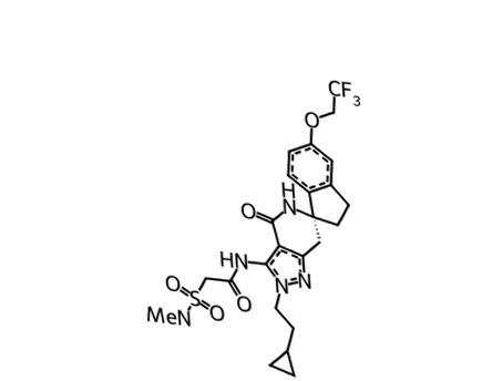 CNS(=O)(=O)CC(=O)Nc1c2c(nn1CCC1CC1)C[C@]1(CCc3cc(OCC(F)(F)F)ccc31)NC2=O